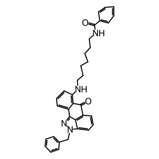 O=C(NCCCCCCCNc1cccc2c1C(=O)c1cccc3c1c-2nn3Cc1ccccc1)c1ccccc1